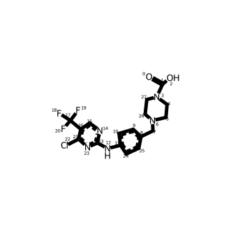 O=C(O)N1CCN(Cc2ccc(Nc3ncc(C(F)(F)F)c(Cl)n3)cc2)CC1